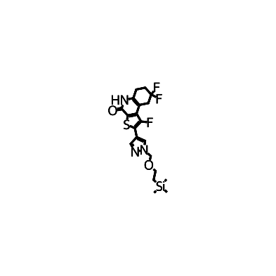 C[Si](C)(C)CCOCn1cc(-c2sc3c(=O)[nH]c4c(c3c2F)CC(F)(F)CC4)cn1